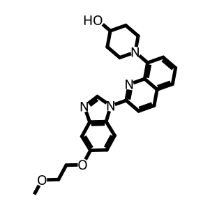 COCCOc1ccc2c(c1)ncn2-c1ccc2cccc(N3CCC(O)CC3)c2n1